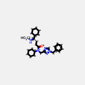 O=C(O)N[C@@H](CCC(=O)N(Cc1ncn(Cc2ccccc2)n1)C1CCCCC1)C1CCCCC1